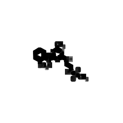 Cc1nc(NCCNS(C)(=O)=O)nc(Nc2ccccc2S(=O)(=O)O)n1